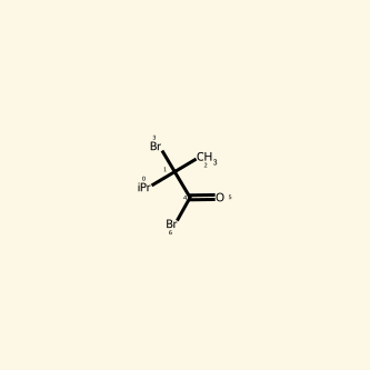 CC(C)C(C)(Br)C(=O)Br